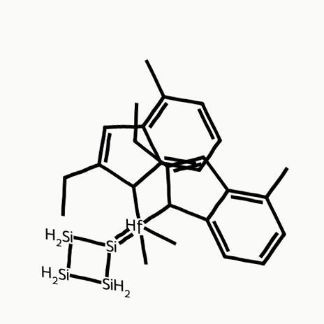 CCC1=Cc2c(C)cccc2[CH]1[Hf]([CH3])([CH3])([CH]1C(CC)=Cc2c(C)cccc21)=[Si]1[SiH2][SiH2][SiH2]1